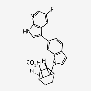 O=C(O)[C@@H]1C2CCC(CC2)[C@H]1n1ccc2ccc(-c3c[nH]c4ncc(F)cc34)cc21